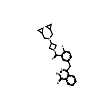 O=C(c1cc(Cc2n[nH]c(=O)c3ccccc23)ccc1F)N1CC(N(CC2CC2)CC2CC2)C1